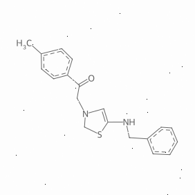 Cc1ccc(C(=O)CN2C=C(NCc3ccccc3)SC2)cc1